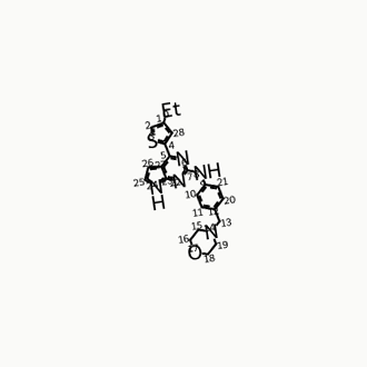 CCc1csc(-c2nc(Nc3ccc(CN4CCOCC4)cc3)nc3[nH]ccc23)c1